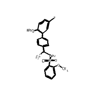 COc1ccc(F)cc1-c1ccc(C(NS(=O)(=O)c2ccccc2OC(F)(F)F)C(F)(F)F)cc1